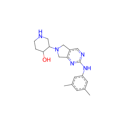 Cc1cc(C)cc(Nc2ncc3c(n2)CN(C2CNCCC2O)C3)c1